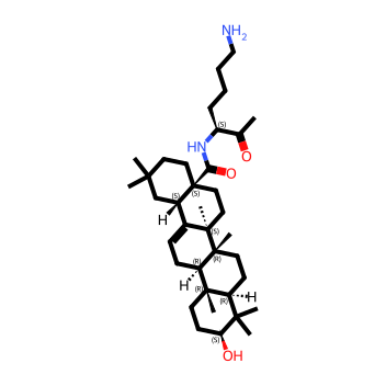 CC(=O)[C@H](CCCCN)NC(=O)[C@]12CCC(C)(C)C[C@H]1C1=CC[C@@H]3[C@@]4(C)CC[C@H](O)C(C)(C)[C@@H]4CC[C@@]3(C)[C@]1(C)CC2